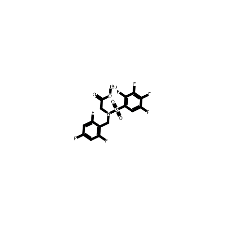 CC(C)(C)OC(=O)CN(Cc1c(F)cc(F)cc1F)S(=O)(=O)c1cc(F)c(F)c(F)c1F